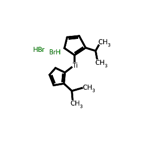 Br.Br.CC(C)C1=[C]([Ti][C]2=C(C(C)C)C=CC2)CC=C1